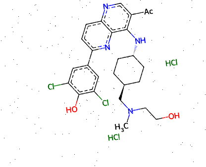 CC(=O)c1cnc2ccc(-c3cc(Cl)c(O)c(Cl)c3)nc2c1N[C@H]1CC[C@H](CN(C)CCO)CC1.Cl.Cl